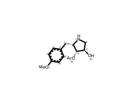 COc1ccc(C[C@@H]2NC[C@@H](O)[C@@H]2OC(C)=O)cc1